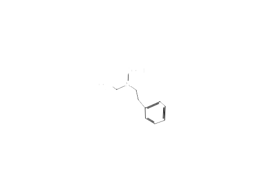 O=C(O)CN(CCc1ccccc1)C(=O)O